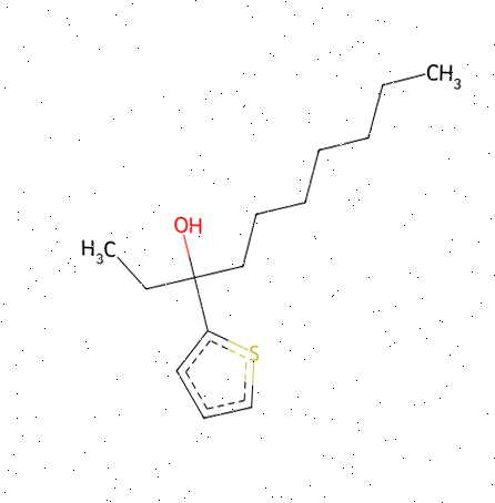 CCCCCCCC(O)(CC)c1cccs1